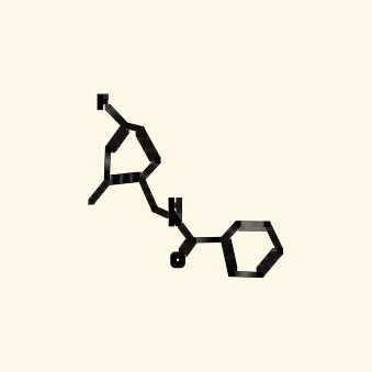 Cc1cc(F)ccc1CNC(=O)c1ccccc1